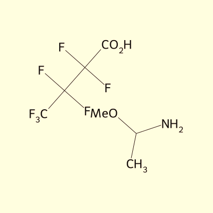 COC(C)N.O=C(O)C(F)(F)C(F)(F)C(F)(F)F